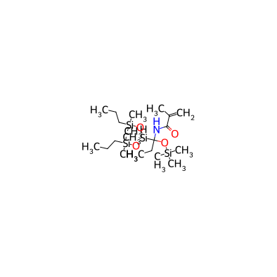 C=C(C)C(=O)NC(CC)(O[Si](C)(C)C)[SiH](O[Si](C)(C)CCC)O[Si](C)(C)CCC